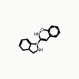 C1=CCC2CNN(C3=Cc4ccccc4ON3)C2=C1